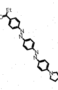 CCC(=O)c1ccc(N=Nc2ccc(N=Nc3ccc(N4CCCC4)cc3)cc2)cc1